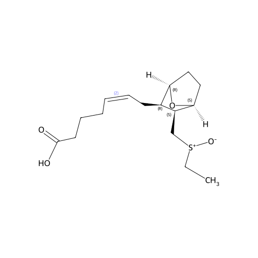 CC[S+]([O-])C[C@H]1[C@@H](C/C=C\CCCC(=O)O)[C@H]2CC[C@@H]1O2